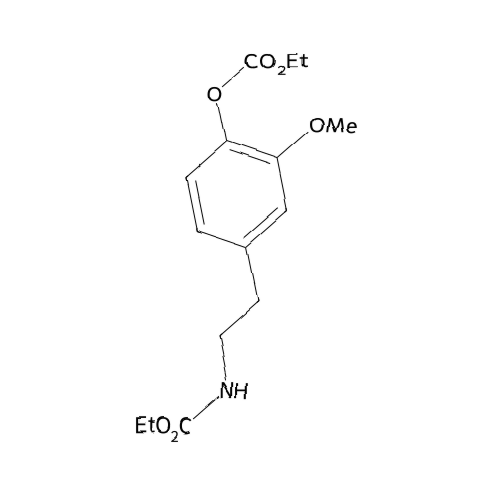 CCOC(=O)NCCc1ccc(OC(=O)OCC)c(OC)c1